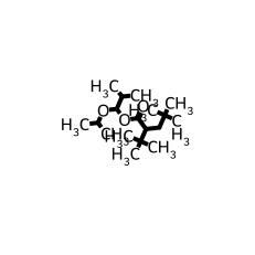 CC(C)OC(OC(=O)C(CC(C)(C)C)C(C)(C)C)C(C)C